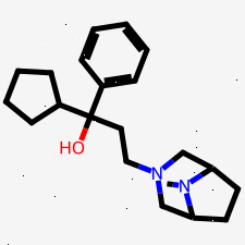 CN1C2CCC1CN(CCC(O)(c1ccccc1)C1CCCC1)C2